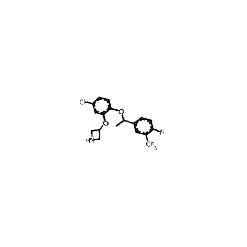 CC(Oc1ccc(Cl)cc1OC1CNC1)c1ccc(F)c(C(F)(F)F)c1